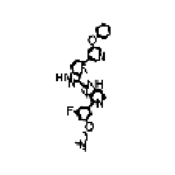 CN(C)CCOc1cc(F)cc(-c2nccc3[nH]c(-c4n[nH]c5ccc(-c6cncc(OC7CCCCC7)c6)nc45)nc23)c1